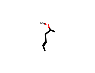 CC=CCC(C)OC(C)=O